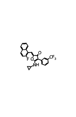 O=C1C(=Cc2c(F)ccc3ccccc23)OC(NC2CC2)=C1c1cccc(C(F)(F)F)c1